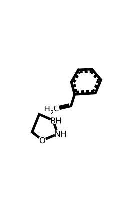 B1CCON1.C=Cc1ccccc1